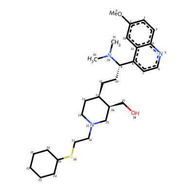 COc1ccc2nccc([C@H](CC[C@@H]3CCN(CCSC4CCCCC4)C[C@@H]3CO)N(C)C)c2c1